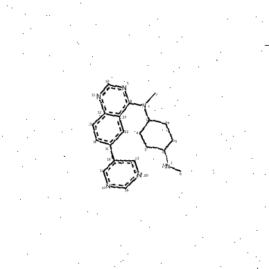 CNC1CCC(N(C)c2ncnc3ccc(-c4cncnc4)cc23)CC1